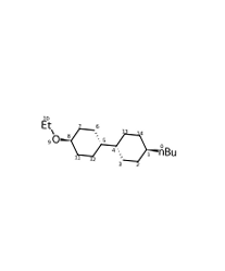 CCCC[C@H]1CC[C@H]([C@H]2CC[C@H](OCC)CC2)CC1